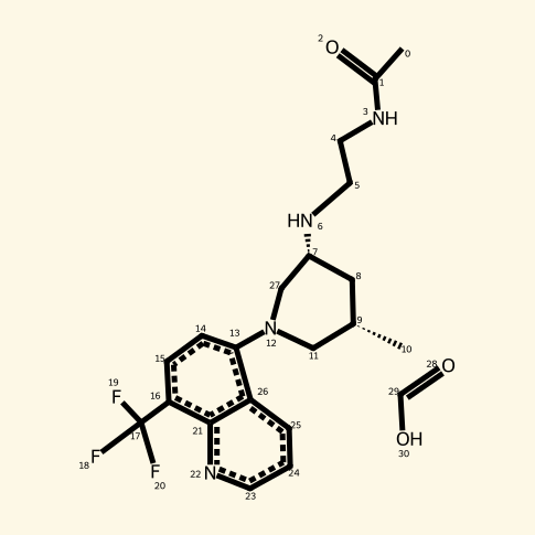 CC(=O)NCCN[C@@H]1C[C@H](C)CN(c2ccc(C(F)(F)F)c3ncccc23)C1.O=CO